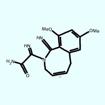 COc1cc2c(c(OC)c1)C(=N)N(C(=N)C(N)=O)C/C=C\C2